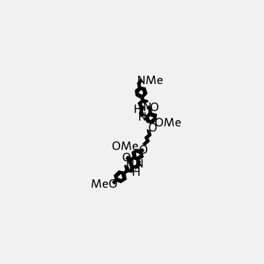 CNCc1ccc(C2=CN3C(=O)c4cc(OC)c(OCCCCCOc5cc6c(cc5OC)C(=O)N5C=C(c7ccc(OC)cc7)C[C@H]5C=N6)cc4N=C[C@@H]3C2)cc1